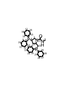 CNC(=O)N1CC(P(c2ccccc2)c2ccccc2)CC1CP(c1ccccc1)c1ccccc1